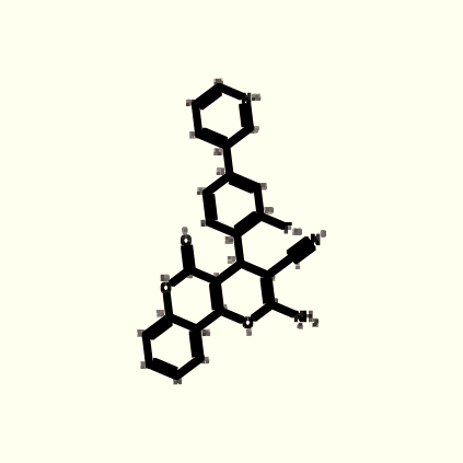 N#CC1=C(N)Oc2c(c(=O)oc3ccccc23)C1c1ccc(-c2cccnc2)cc1F